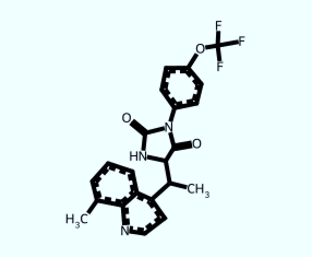 Cc1cccc2c(C(C)C3NC(=O)N(c4ccc(OC(F)(F)F)cc4)C3=O)ccnc12